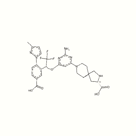 Cc1ccn(-c2ccc(C(=O)O)cc2C(Oc2cc(N3CCC4(CC3)CN[C@H](C(=O)O)C4)nc(N)n2)C(F)(F)F)n1